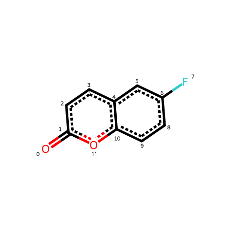 O=c1c[c]c2cc(F)ccc2o1